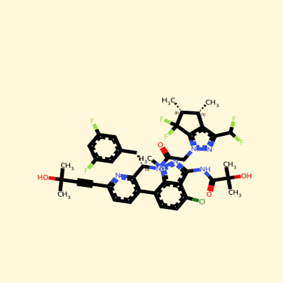 C[C@@H]1c2c(C(F)F)nn(CC(=O)N[C@@H](Cc3cc(F)cc(F)c3)c3nc(C#CC(C)(C)O)ccc3-c3ccc(Cl)c4c(NC(=O)C(C)(C)O)nn(C)c34)c2C(F)(F)[C@@H]1C